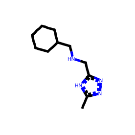 Cc1nnc(CNCC2CCCCC2)[nH]1